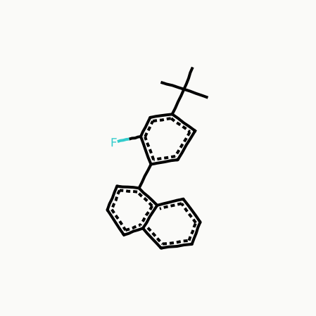 CC(C)(C)c1ccc(-c2cccc3ccccc23)c(F)c1